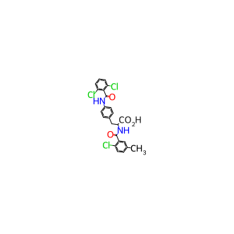 Cc1ccc(Cl)c(C(=O)N[C@@H](Cc2ccc(NC(=O)c3c(Cl)cccc3Cl)cc2)C(=O)O)c1